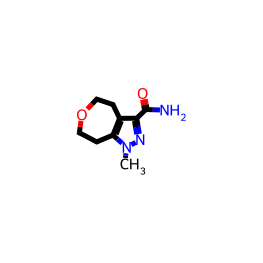 Cn1nc(C(N)=O)c2c1CCOCC2